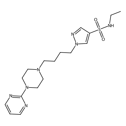 CCNS(=O)(=O)c1cnn(CCCCN2CCN(c3ncccn3)CC2)c1